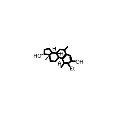 CCc1c(O)cc2c(c1C)[C@H]1CC[C@]3(C)[C@H](O)CC[C@H]3[C@@H]1CC2C